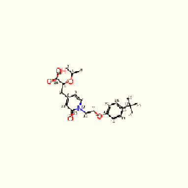 CC(C)OC(Cc1ccn(CCOc2ccc(C(C)(C)C)cc2)c(=O)c1)C(=O)O